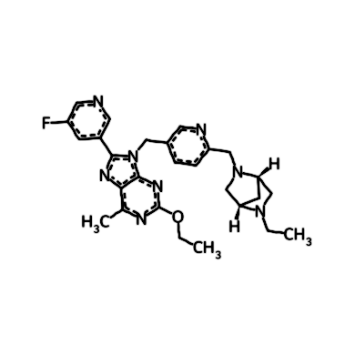 CCOc1nc(C)c2nc(-c3cncc(F)c3)n(Cc3ccc(CN4C[C@@H]5C[C@H]4CN5CC)nc3)c2n1